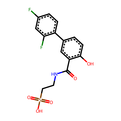 O=C(NCCS(=O)(=O)O)c1cc(-c2ccc(F)cc2F)ccc1O